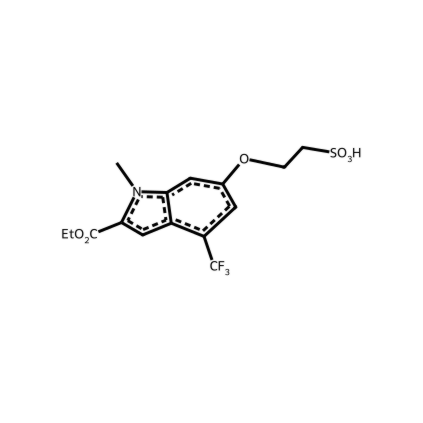 CCOC(=O)c1cc2c(C(F)(F)F)cc(OCCS(=O)(=O)O)cc2n1C